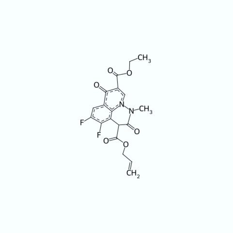 C=CCOC(=O)C1C(=O)N(C)n2cc(C(=O)OCC)c(=O)c3cc(F)c(F)c1c32